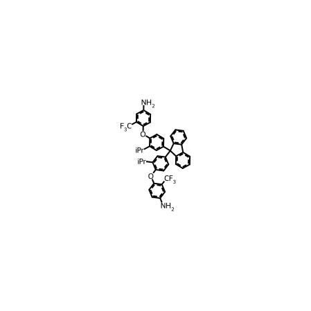 CC(C)c1cc(C2(c3ccc(Oc4ccc(N)cc4C(F)(F)F)c(C(C)C)c3)c3ccccc3-c3ccccc32)ccc1Oc1ccc(N)cc1C(F)(F)F